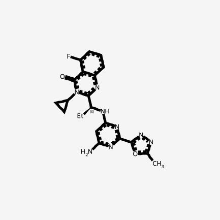 CC[C@H](Nc1cc(N)nc(-c2nnc(C)o2)n1)c1nc2cccc(F)c2c(=O)n1C1CC1